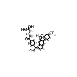 Cc1cc(C(F)(F)F)ccc1-c1cc2cnn(C(CC(C)C)c3ccc(C(=O)NCCC(O)O)nc3)c2cc1C